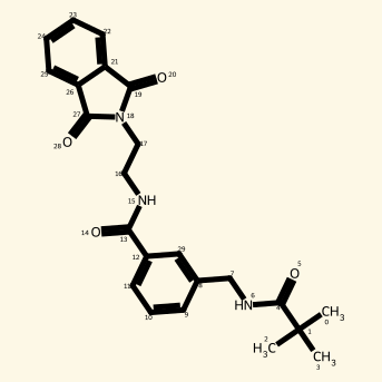 CC(C)(C)C(=O)NCc1cccc(C(=O)NCCN2C(=O)c3ccccc3C2=O)c1